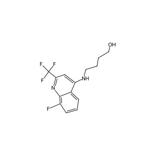 OCCCCNc1cc(C(F)(F)F)nc2c(F)cccc12